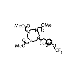 COC(=O)CN1CCN(CC(=O)OC)CCN(C(Cc2ccc(OCC(F)(F)F)cc2)C(=O)O)CCN(CC(=O)OC)CC1